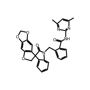 Cc1cc(C)nc(NC(=O)c2ccccc2CN2C(=O)C3(COc4cc5c(cc43)OCO5)c3ccccc32)n1